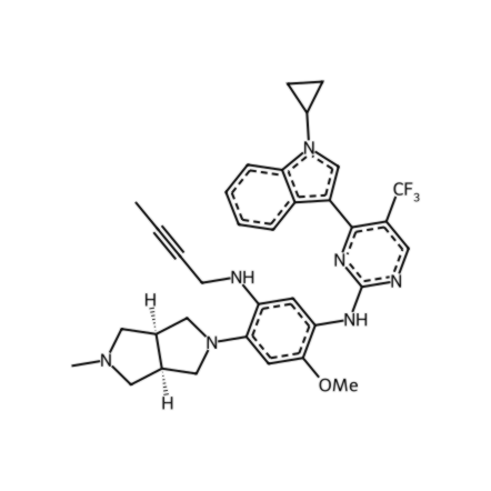 CC#CCNc1cc(Nc2ncc(C(F)(F)F)c(-c3cn(C4CC4)c4ccccc34)n2)c(OC)cc1N1C[C@H]2CN(C)C[C@H]2C1